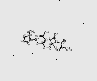 CC(=O)N(Br)[C@@H]1C(=O)N2C(C(=O)O)=C(CSc3nnnn3C)CS[C@@H]12